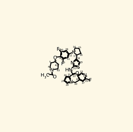 CC(=O)N1CCC(Oc2c(F)cc(N3CCCC3c3csc(NC(=O)c4cccn4Cc4ccnc(F)c4)n3)cc2F)CC1